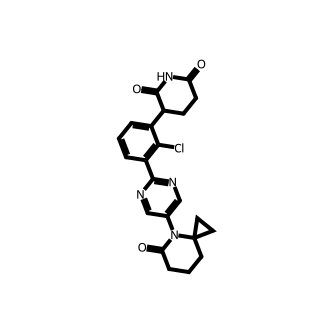 O=C1CCC(c2cccc(-c3ncc(N4C(=O)CCCC45CC5)cn3)c2Cl)C(=O)N1